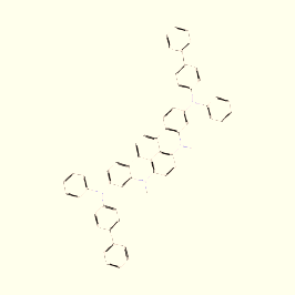 CN1c2cc(N(c3ccccc3)c3ccc(-c4ccccc4)cc3)ccc2-c2ccc3c4c(ccc1c24)N(C)c1cc(N(c2ccccc2)c2ccc(-c4ccccc4)cc2)ccc1-3